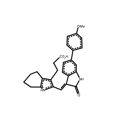 COc1ccc(-c2ccc3c(c2)NC(=O)C3=Cc2[nH]c3c(c2CCC(=O)O)CCCC3)cc1